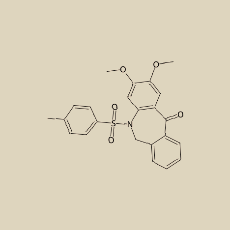 COc1cc2c(cc1OC)N(S(=O)(=O)c1ccc(C)cc1)Cc1ccccc1C2=O